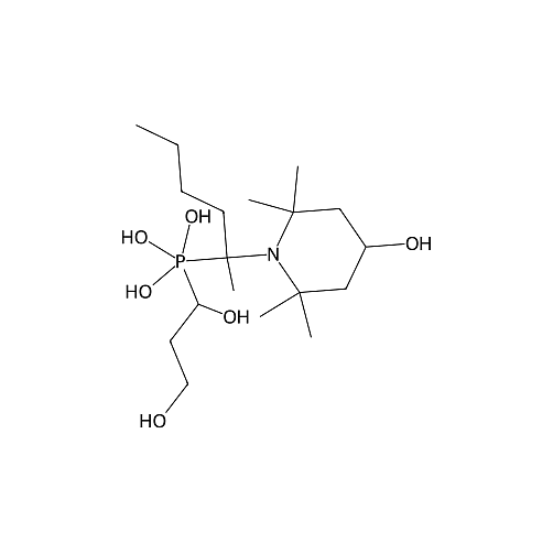 CCCCC(C)(N1C(C)(C)CC(O)CC1(C)C)P(O)(O)(O)C(O)CCO